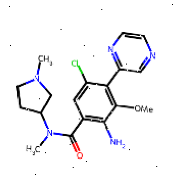 COc1c(N)c(C(=O)N(C)C2CCN(C)C2)cc(Cl)c1-c1cnccn1